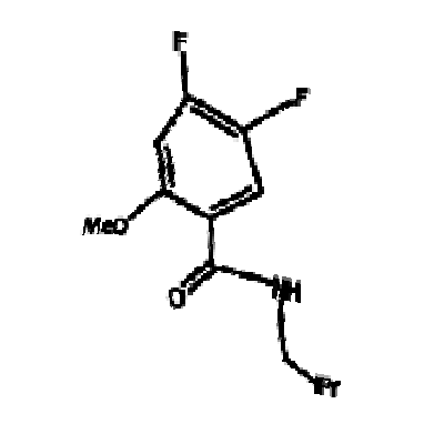 COc1cc(F)c(F)cc1C(=O)NCC(C)C